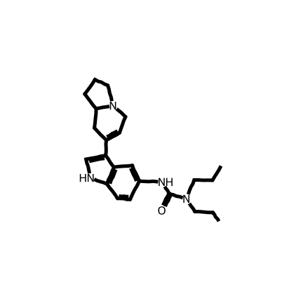 CCCN(CCC)C(=O)Nc1ccc2[nH]cc(C3=CCN4CCCC4C3)c2c1